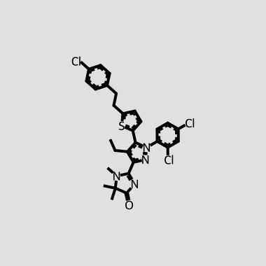 CCc1c(C2=NC(=O)C(C)(C)N2C)nn(-c2ccc(Cl)cc2Cl)c1-c1ccc(CCc2ccc(Cl)cc2)s1